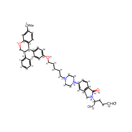 COc1ccc2c(c1)OC[C@H](c1ccccc1)[C@@H]2c1ccc(OCCCCCN2CCN(c3ccc4c(c3)CN(C(C=O)CCC=O)C4=O)CC2)cc1